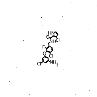 Nc1cc(Cl)cc(Oc2c(Cl)ccc(CNC(=O)c3[nH]ccc3Cl)c2F)c1